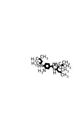 CC(C)CC(C)Nc1ccc(C(=O)NC(CC(C)C)C(=O)OC(C)(C)C)cc1N